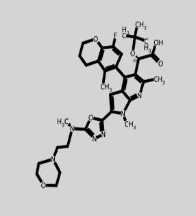 Cc1nc2c(cc(-c3nnc(N(C)CCN4CCOCC4)o3)n2C)c(-c2cc(F)c3c(c2C)CCCO3)c1[C@H](OC(C)(C)C)C(=O)O